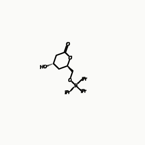 CC(C)[Si](OC[C@H]1C[C@H](O)CC(=O)O1)(C(C)C)C(C)C